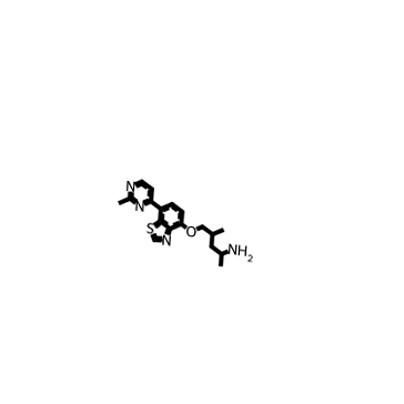 Cc1nccc(-c2ccc(OCC(C)CC(C)N)c3ncsc23)n1